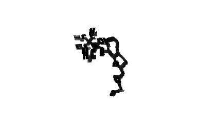 CC(C)(C)[Si](C)(C)Oc1cccc2cc(CO[C]=O)oc12